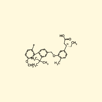 CC[C@@H](CC(=O)O)c1ccc(C)c(OCc2ccc(-c3cc(OC)ccc3F)c(C(C)(C)C)c2)c1